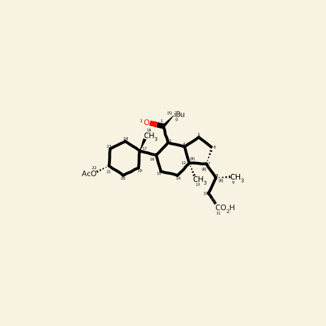 CC[C@H](C)C(=O)C1C2CC[C@H]([C@H](C)CC(=O)O)[C@@]2(C)CCC1[C@]1(C)CC[C@H](OC(C)=O)CC1